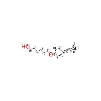 C[Si](C)(C)C#Cc1ccc(OCCCCCCO)cc1